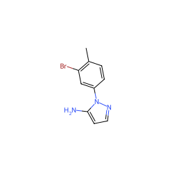 Cc1ccc(-n2nccc2N)cc1Br